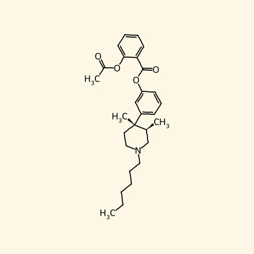 CCCCCCN1CC[C@](C)(c2cccc(OC(=O)c3ccccc3OC(C)=O)c2)[C@@H](C)C1